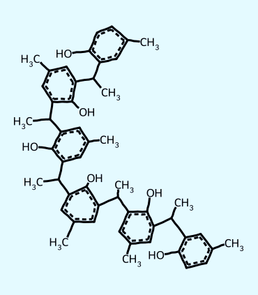 Cc1ccc(O)c(C(C)c2cc(C)cc(C(C)c3cc(C)cc(C(C)c4cc(C)cc(C(C)c5cc(C)cc(C(C)c6cc(C)ccc6O)c5O)c4O)c3O)c2O)c1